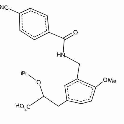 COc1ccc(CC(OC(C)C)C(=O)O)cc1CNC(=O)c1ccc(C#N)cc1